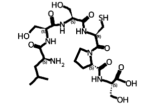 CC(C)C[C@H](N)C(=O)N[C@@H](CO)C(=O)N[C@@H](CO)C(=O)N[C@@H](CS)C(=O)N1CCC[C@H]1C(=O)N[C@@H](CO)C(=O)O